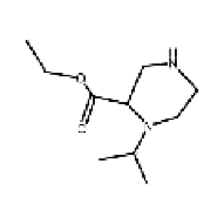 CCOC(=O)C1CNCCN1[C](C)C